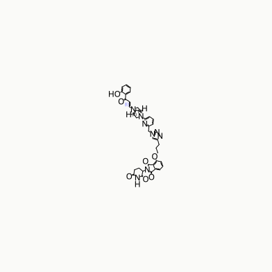 O=C1CCC(N2C(=O)c3cccc(OCCCc4cn(Cc5cccc(N6C[C@H]7C[C@@H]6CN7/C=C/C(=O)c6ccccc6O)n5)nn4)c3C2=O)C(=O)N1